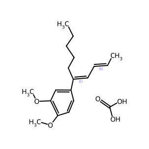 C/C=C/C=C(\CCCCC)c1ccc(OC)c(OC)c1.O=C(O)O